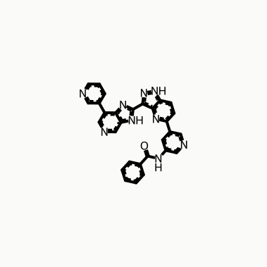 O=C(Nc1cncc(-c2ccc3[nH]nc(-c4nc5c(-c6cccnc6)cncc5[nH]4)c3n2)c1)c1ccccc1